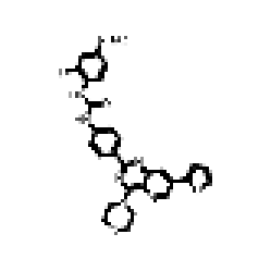 CC(=O)Nc1ccc(NC(=O)Nc2ccc(-c3nc(N4CCOCC4)c4ncc(-c5ccco5)cc4n3)cc2)c(F)c1